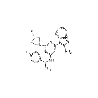 C[C@H](Nc1cc(-c2c(N)nn3cccnc23)nc(N2CC[C@H](F)C2)n1)c1ccc(F)cc1